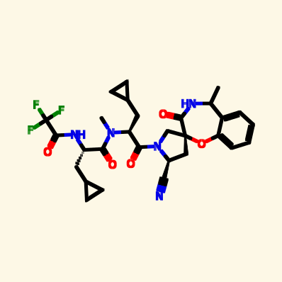 CC1NC(=O)[C@]2(C[C@@H](C#N)N(C(=O)[C@H](CC3CC3)N(C)C(=O)[C@H](CC3CC3)NC(=O)C(F)(F)F)C2)Oc2ccccc21